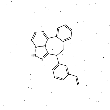 C=Cc1cccc(C2Cc3ccccc3C3=CC=CN4NN=C2N34)c1